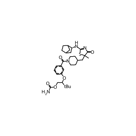 CC1(CC2CCN(C(=O)c3cccc(OC(COC(N)=O)C(C)(C)C)c3)CC2)SC(N[C@H]2CC3CCC2C3)=NC1=O